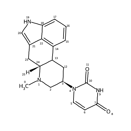 CN1C[C@H](n2ccc(=O)[nH]c2=O)CC2c3cccc4[nH]cc(c34)C[C@H]21